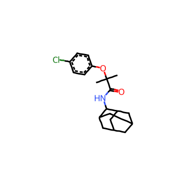 CC(C)(Oc1ccc(Cl)cc1)C(=O)NC1C2CC3CC(C2)CC1C3